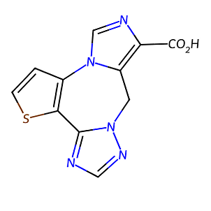 O=C(O)c1ncn2c1Cn1ncnc1-c1sccc1-2